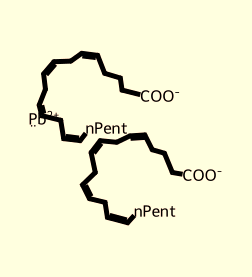 CCCCC/C=C\C/C=C\C/C=C\C/C=C\CCCC(=O)[O-].CCCCC/C=C\C/C=C\C/C=C\C/C=C\CCCC(=O)[O-].[Pb+2]